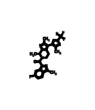 CC1c2nn(C)c(-c3cc(C(F)(F)F)nn3C)c2CCN1C(=O)c1nn(C)c2ccc(F)cc12